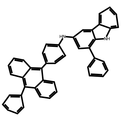 c1ccc(-c2c3ccccc3c(-c3ccc(Nc4cc(-c5ccccc5)c5[nH]c6ccccc6c5c4)cc3)c3ccccc23)cc1